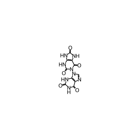 O=c1[nH]c2[nH]c(=O)n(-n3cnc4c(=O)[nH]c(=O)[nH]c43)c(=O)c2[nH]1